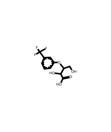 O=C(O)C(O)C(CO)Oc1cccc(C(F)(F)F)c1